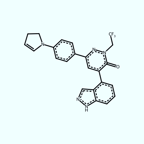 O=c1c(-c2cccc3[nH]ncc23)cc(-c2ccc(N3C=CCC3)cc2)nn1CC(F)(F)F